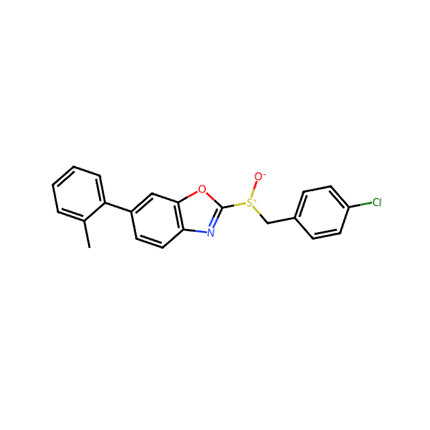 Cc1ccccc1-c1ccc2nc([S+]([O-])Cc3ccc(Cl)cc3)oc2c1